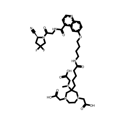 CN(CC(=O)O)C1(CCCCC(=O)NCCCCOc2ccc3nccc(C(=O)NCC(=O)N4CC(F)(F)C[C@H]4C#N)c3c2)CN(CC(=O)O)CCN(CC(=O)O)C1